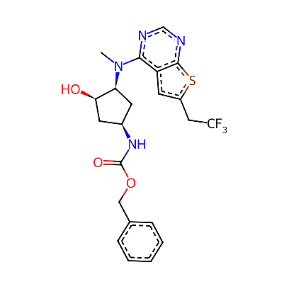 CN(c1ncnc2sc(CC(F)(F)F)cc12)[C@H]1C[C@@H](NC(=O)OCc2ccccc2)C[C@H]1O